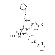 Cl.Cl.Cl.Clc1ccc2c(c1)CN(CCN1CCCC1)Cc1nnc(C3CCN(c4ccccn4)CC3)n1-2